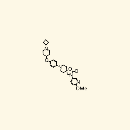 COc1ccc(N2CC3(CCN(c4ccc(OC5CCN(C6CCC6)CC5)cc4)CC3)OC2=O)cn1